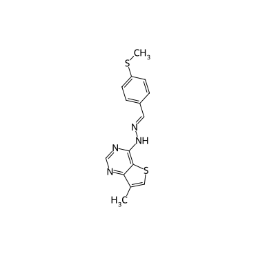 CSc1ccc(C=NNc2ncnc3c(C)csc23)cc1